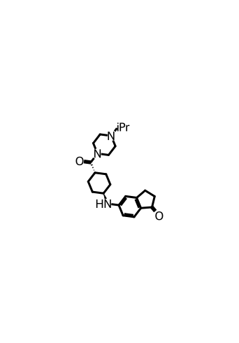 CC(C)N1CCN(C(=O)[C@H]2CC[C@H](Nc3ccc4c(c3)CCC4=O)CC2)CC1